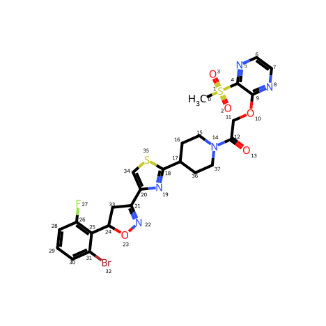 CS(=O)(=O)c1nccnc1OCC(=O)N1CCC(c2nc(C3=NOC(c4c(F)cccc4Br)C3)cs2)CC1